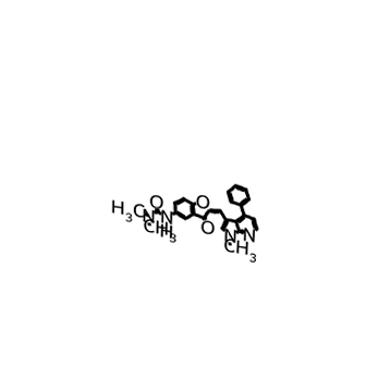 CN(C)C(=O)Nc1ccc2c(c1)C(=O)C(=Cc1cn(C)c3nccc(-c4ccccc4)c13)O2